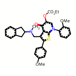 CCOC(=O)Oc1cn(-c2ccccc2OC)c2sc(-c3ccc(OC)cc3)c(CN(C)C3Cc4ccccc4C3)c2c1=O